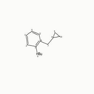 CCCCc1ccc[c]c1CC1CC1